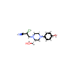 N#CC(Cl)CN1CCN(c2ccc(Br)cc2)C[C@@H]1CO